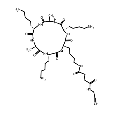 C#CCNC(=O)CCC(=O)NCCCC[C@H]1NC(=O)[C@H](CCCCN)NC(=O)[C@@H](C)NC(=O)[C@H](CCCCN)NC(=O)[C@@H](C)NC(=O)[C@H](CCCCN)NC1=O